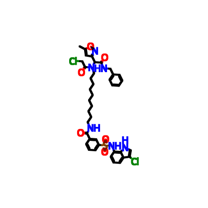 Cc1cc(C(C(=O)NCc2ccccc2)N(CCCCCCCCCCNC(=O)c2cccc(S(=O)(=O)Nc3cccc4c(Cl)c[nH]c34)c2)C(=O)CCl)no1